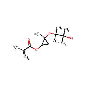 C=C(C)C(=O)OC1CC1(C)OC(C)(C)C(C)(C)O